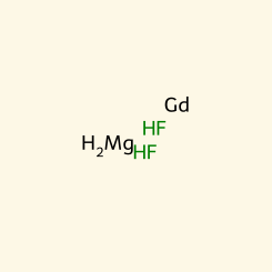 F.F.[Gd].[MgH2]